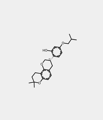 CC(C)COc1ccc([C@H]2COc3c(ccc4c3CCC(C)(C)O4)C2)c(O)c1